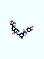 Cc1nocc1-c1ccc2c(=O)n(Cc3cccc(C(=O)N[C@H]4CC[C@@H](O)CC4)c3)ccc2c1